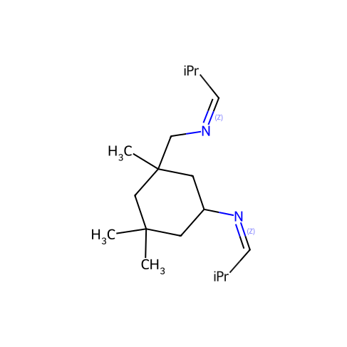 CC(C)/C=N\CC1(C)CC(/N=C\C(C)C)CC(C)(C)C1